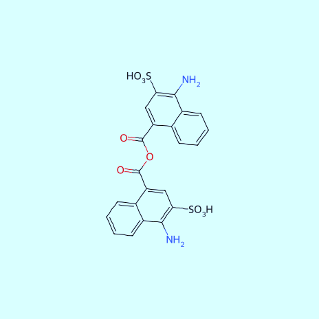 Nc1c(S(=O)(=O)O)cc(C(=O)OC(=O)c2cc(S(=O)(=O)O)c(N)c3ccccc23)c2ccccc12